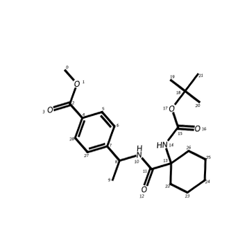 COC(=O)c1ccc(C(C)NC(=O)C2(NC(=O)OC(C)(C)C)CCCCC2)cc1